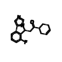 O=C(CC1c2c(F)cccc2-c2cncn21)C1CC=CCC1